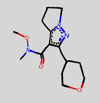 CON(C)C(=O)c1c(C2CCOCC2)nn2c1CCC2